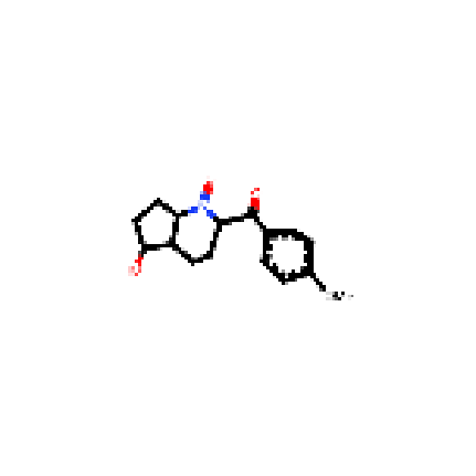 COc1ccc(C(=O)C2CCC3C(O)CCC3[N+]2=O)cc1